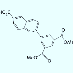 COC(=O)c1cc(C(=O)OC)cc(-c2ccc3cc(C(=O)O)ccc3c2)c1